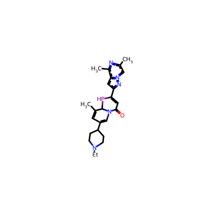 CCN1CCC(C2=CN3C(=O)C=C(c4cc5c(C)nc(C)cn5n4)PC3C(C)=C2)CC1